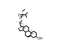 CC[C@@]1(C(C)C)O[C@H]1C[C@@H](C)[C@H]1CCC2C3CC=C4C[C@@H](O)CC[C@]4(C)C3CC[C@@]21C